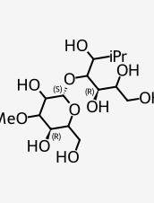 COC1C(O)[C@H](OC(C(O)C(C)C)[C@H](O)C(O)CO)OC(CO)[C@H]1O